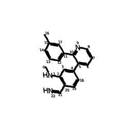 CNc1cc(-c2cccnc2-c2cccc(C)c2)ccc1C=N